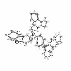 c1ccc(-c2ccccc2-c2ccc(N(c3ccc(-n4c5ccccc5c5cc6ccccc6cc54)cc3)c3ccc4oc5ccccc5c4c3)cc2)cc1